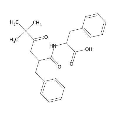 CC(C)(C)C(=O)CC(Cc1ccccc1)C(=O)NC(Cc1ccccc1)C(=O)O